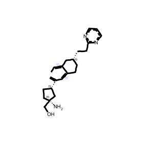 C=C(/C=C1/CC[C@@H](CCc2ncccn2)C/C1=C/C)[C@H]1CC[C@](N)(CO)C1